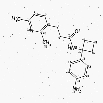 Cc1ccc(CCC(=O)NC2(c3ccc(N)cc3)CCC2)c(C)n1